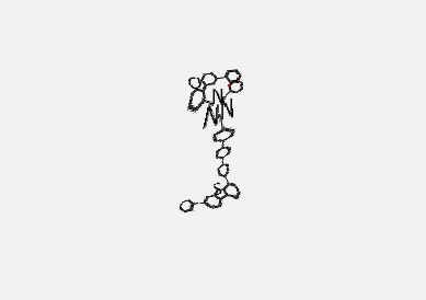 c1ccc(-c2ccc3c(c2)sc2c(-c4ccc(-c5ccc(-c6ccc(-c7nc(-c8ccccc8)nc(-c8cccc9oc%10ccc(-c%11ccccc%11)cc%10c89)n7)cc6)cc5)cc4)cccc23)cc1